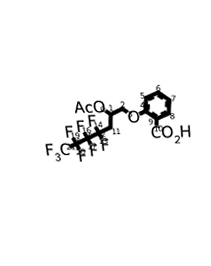 CC(=O)OC(COc1ccccc1C(=O)O)CC(F)(F)C(F)(F)C(F)(F)C(F)(F)F